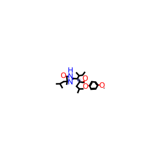 CCC(C)/C(C1=NC(C)(CC(C)C)C(=O)N1)=C(/CC(C)C)C(=O)Oc1ccc(OC)cc1